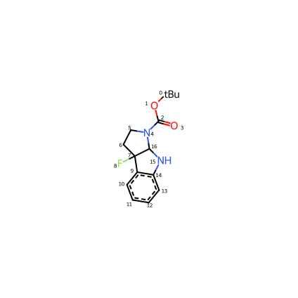 CC(C)(C)OC(=O)N1CCC2(F)c3ccccc3NC12